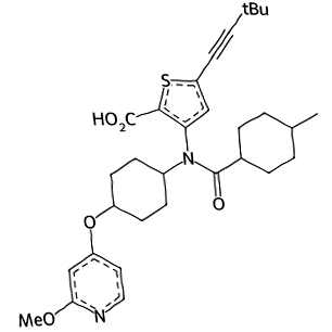 COc1cc(OC2CCC(N(C(=O)C3CCC(C)CC3)c3cc(C#CC(C)(C)C)sc3C(=O)O)CC2)ccn1